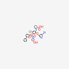 CC1C(c2ccccc2)=CC=CC1(COc1cc(OCc2cncc(C#N)c2)c(CN2CCCC[C@H]2C(=O)O)cc1Cl)OCC(=O)N1CC[C@@H](O)C1